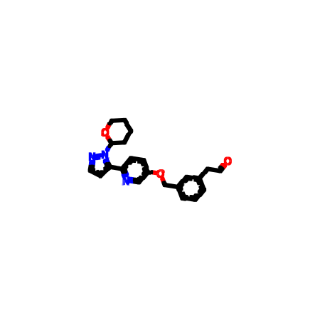 O=CCc1cccc(COc2ccc(-c3ccnn3C3CCCCO3)nc2)c1